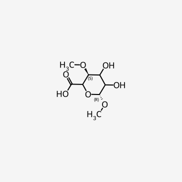 CO[C@@H]1OC(C(=O)O)[C@@H](OC)C(O)C1O